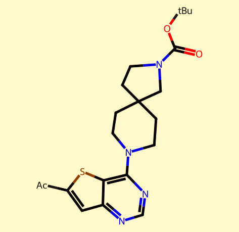 CC(=O)c1cc2ncnc(N3CCC4(CCN(C(=O)OC(C)(C)C)C4)CC3)c2s1